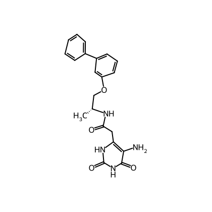 C[C@H](COc1cccc(-c2ccccc2)c1)NC(=O)Cc1[nH]c(=O)[nH]c(=O)c1N